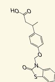 CC(CC(=O)O)c1ccc(OCn2c(=O)sc3ccccc32)cc1